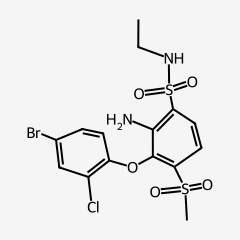 CCNS(=O)(=O)c1ccc(S(C)(=O)=O)c(Oc2ccc(Br)cc2Cl)c1N